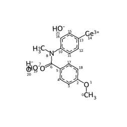 COc1ccc(C(=O)N(C)c2cc[c]([Ge+3])cc2)cc1.[OH-].[OH-].[OH-]